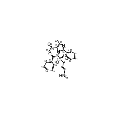 CNC=CCS(=O)(=O)C(C(=O)c1ccccc1)n1c(-c2ccccc2)nc(C)c1C(C)=O